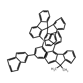 CC1(C)c2ccccc2-c2c(-c3ccccc3N(c3cccc(-c4ccc5ccccc5c4)c3)c3cccc4c3C3(c5ccccc5-c5ccccc53)c3ccccc3-4)cccc21